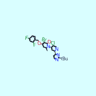 Cc1cc(OCc2ccc(F)cc2F)c(Br)c(=O)n1-c1cc(-c2ccnc(C(C)(C)C)n2)ncc1Cl